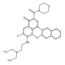 CCN(CC)CCNc1c(F)cc2c(=O)c(C(=O)N3CCOCC3)cn3c2c1Oc1cc2ccccc2cc1-3